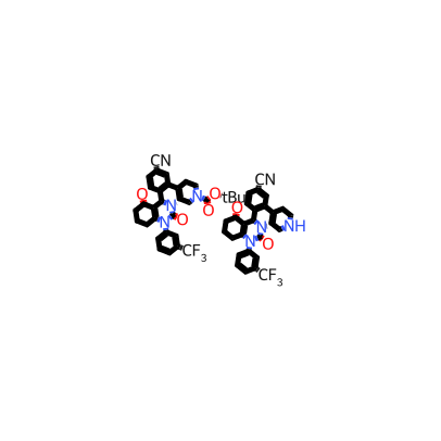 CN1C(=O)N(c2cccc(C(F)(F)F)c2)C2=C(C(=O)CCC2)C1c1ccc(C#N)cc1C1=CCN(C(=O)OC(C)(C)C)CC1.CN1C(=O)N(c2cccc(C(F)(F)F)c2)C2=C(C(=O)CCC2)C1c1ccc(C#N)cc1C1=CCNCC1